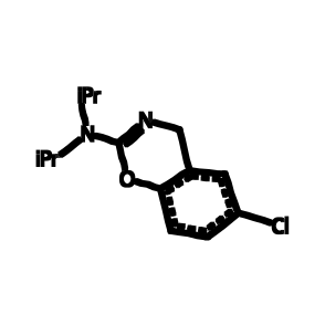 CC(C)N(C1=NCc2cc(Cl)ccc2O1)C(C)C